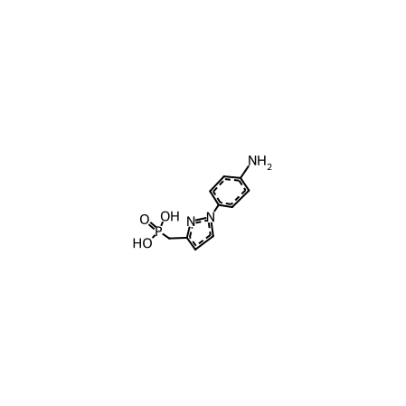 Nc1ccc(-n2ccc(CP(=O)(O)O)n2)cc1